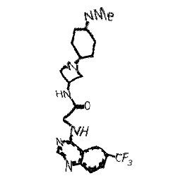 CN[C@H]1CC[C@@H](N2CC(NC(=O)CNc3ncnc4ccc(C(F)(F)F)cc34)C2)CC1